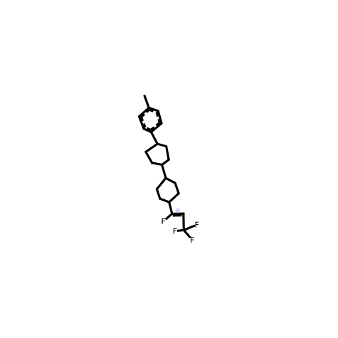 Cc1ccc(C2CCC(C3CCC(/C(F)=C/C(F)(F)F)CC3)CC2)cc1